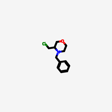 ClCC1COCCN1Cc1ccccc1